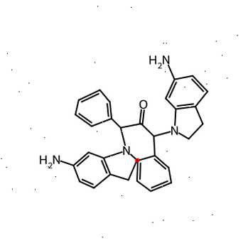 Nc1ccc2c(c1)N(C(C(=O)C(c1ccccc1)N1CCc3ccc(N)cc31)c1ccccc1)CC2